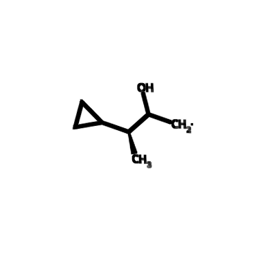 [CH2]C(O)[C@@H](C)C1CC1